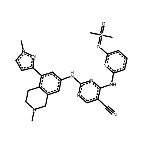 CN1CCc2c(cc(Nc3ncc(C#N)c(Nc4cccc(N=S(C)(C)=O)n4)n3)cc2-c2ccn(C)n2)C1